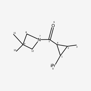 CC(C)C1C(C)C1C(=O)N1CC(C)(C)C1